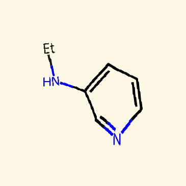 [CH2]CNc1cccnc1